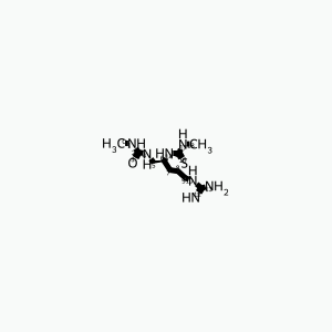 CNC(=O)NC[C@H](CCCNC(=N)N)NC(=S)NC